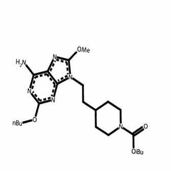 CCCCOc1nc(N)c2nc(OC)n(CCC3CCN(C(=O)OCC(C)C)CC3)c2n1